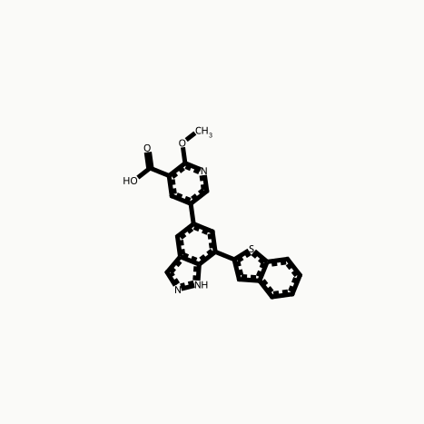 COc1ncc(-c2cc(-c3cc4ccccc4s3)c3[nH]ncc3c2)cc1C(=O)O